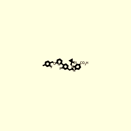 CCC1(Cn2c(Cc3ccc(-c4cccc(OCc5ccc(C)cc5F)n4)c(F)c3)nc3ccc(C(=O)O)cc32)CC1